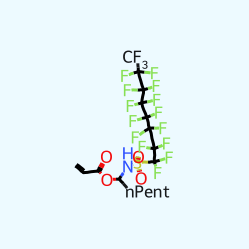 C=CC(=O)OC(CCCCC)NS(=O)(=O)C(F)(F)C(F)(F)C(F)(F)C(F)(F)C(F)(F)C(F)(F)C(F)(F)C(F)(F)F